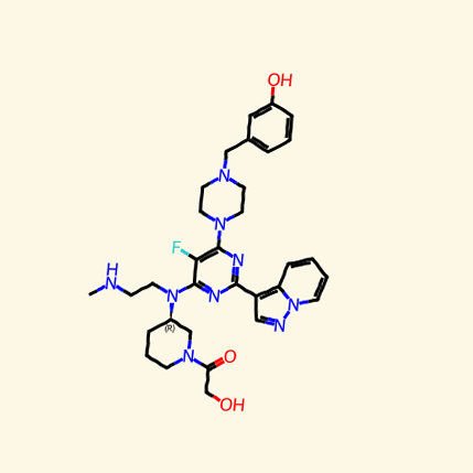 CNCCN(c1nc(-c2cnn3ccccc23)nc(N2CCN(Cc3cccc(O)c3)CC2)c1F)[C@@H]1CCCN(C(=O)CO)C1